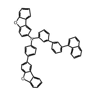 c1cc(-c2cccc(N(c3ccc(-c4ccc5oc6ccccc6c5c4)cc3)c3ccc4oc5ccccc5c4c3)c2)cc(-c2cccc3ccccc23)c1